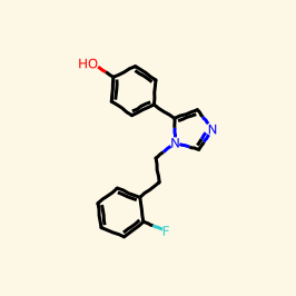 Oc1ccc(-c2cncn2CCc2ccccc2F)cc1